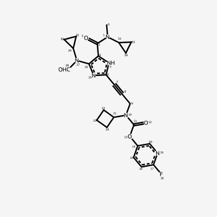 CN(C(=O)c1[nH]c(C#CCN(C(=O)Oc2ccc(F)nc2)C2CCC2)nc1N(C=O)C1CC1)C1CC1